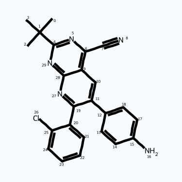 CC(C)(C)c1nc(C#N)c2cc(-c3ccc(N)cc3)c(-c3ccccc3Cl)nc2n1